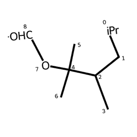 CC(C)CC(C)C(C)(C)O[C]=O